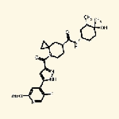 COc1cc(-c2cc(C(=O)N3CC[C@H](C(=O)N[C@H]4CC[C@](O)(C(F)(F)F)[C@@H](C)C4)CC34CC4)n[nH]2)c(F)cn1